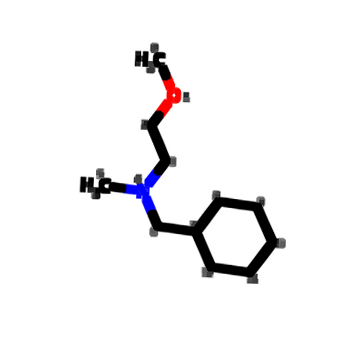 COCCN(C)CC1CCCCC1